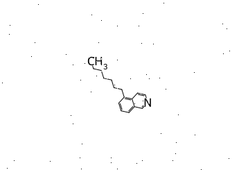 CCCCCCCc1cccc2cnccc12